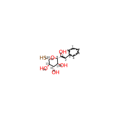 OC(=Cc1ccccc1)[C@H]1O[C@@H](S)[C@H](O)[C@@H](O)[C@@H]1O